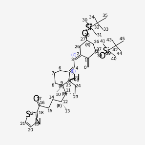 C=C1/C(=C\C=C2/CCC[C@]3(C)[C@@H]([C@H](C)CCC(=O)c4nccs4)CC[C@@H]23)C[C@@H](O[Si](C)(C)C(C)(C)C)C[C@@H]1O[Si](C)(C)C(C)(C)C